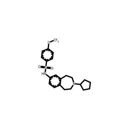 O=S(=O)(Nc1ccc2c(c1)CCN(C1CCCC1)CC2)c1ccc(OC(F)(F)F)cc1